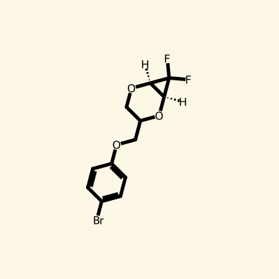 FC1(F)[C@@H]2OCC(COc3ccc(Br)cc3)O[C@@H]21